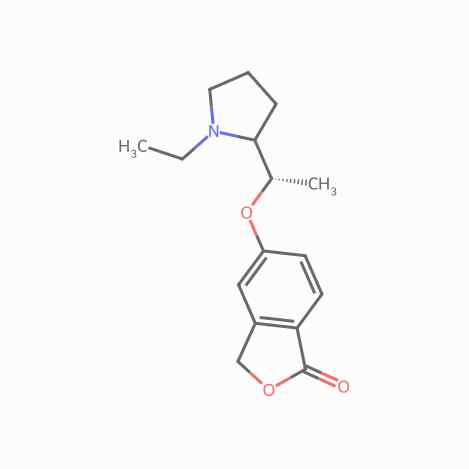 CCN1CCCC1[C@H](C)Oc1ccc2c(c1)COC2=O